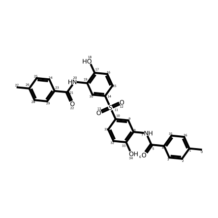 Cc1ccc(C(=O)Nc2cc(S(=O)(=O)c3ccc(O)c(NC(=O)c4ccc(C)cc4)c3)ccc2O)cc1